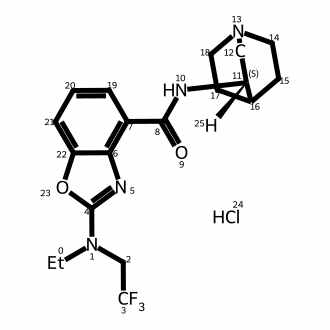 CCN(CC(F)(F)F)c1nc2c(C(=O)N[C@@H]3CN4CCC3CC4)cccc2o1.Cl